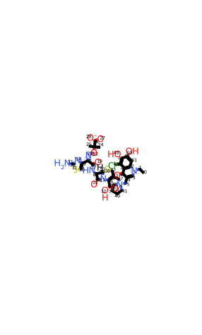 CCn1cc(C[N+]2(CC3=C(C(=O)O)N4C(=O)[C@@H](NC(=O)/C(=N\OC(C)(C)C(=O)[O-])c5csc(N)n5)[C@H]4SC3)CCCC2)c(=O)c2c(Cl)c(O)c(O)cc21